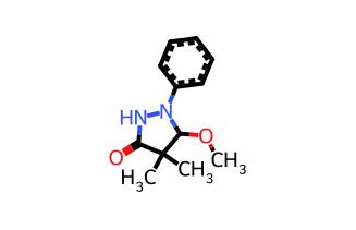 COC1N(c2ccccc2)NC(=O)C1(C)C